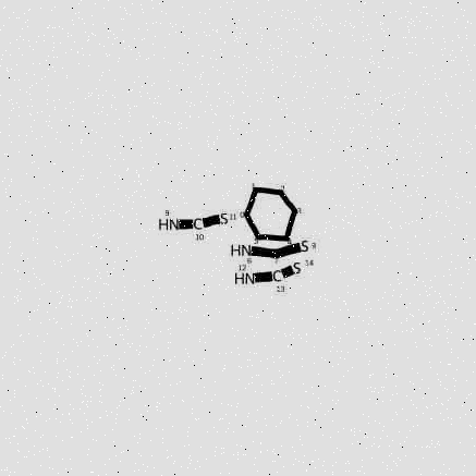 C1CCCCC1.N=C=S.N=C=S.N=C=S